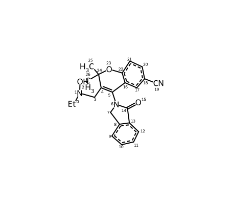 CCN(O)CC1=C(N2Cc3ccccc3C2=O)c2cc(C#N)ccc2OC1(C)C